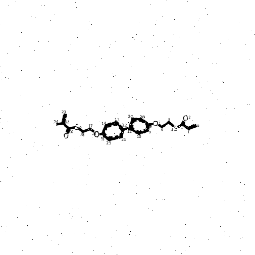 C=CC(=O)SCCOc1ccc(-c2ccc(OCCSC(=O)C(=C)C)cc2)cc1